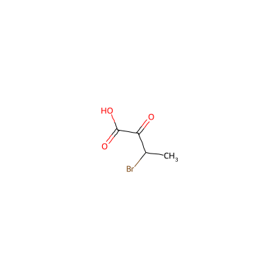 CC(Br)C(=O)C(=O)O